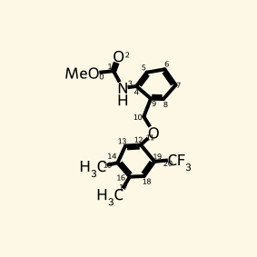 COC(=O)Nc1ccccc1COc1cc(C)c(C)cc1C(F)(F)F